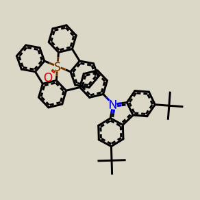 CC(C)(C)c1ccc2c(c1)c1cc(C(C)(C)C)ccc1n2-c1cccc(-c2cccc3c2S2(=O)(c4ccccc4-c4ccccc42)c2ccccc2-3)c1